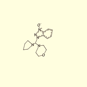 [O-][n+]1nn(C(N2CCCC2)N2CCOCC2)c2ccccc21